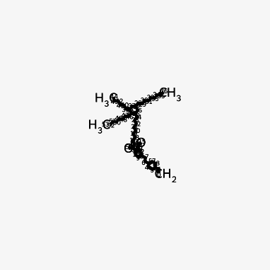 C=Cc1ccc(CCC2=CC3CC2C2C(=O)N(CCCCCCCCC4CC(CCCCCCCCC)CC(CCCCCC)C4CCCCCCCC)C(=O)C32)cc1